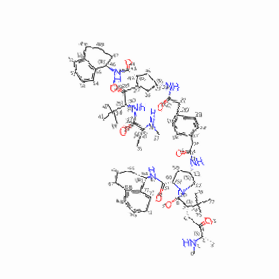 CN[C@@H](C)C(=O)C[C@H](C(=O)N1C[C@@H](NC(=O)Cc2ccc(CC(=O)N[C@@H]3CC(C(=O)[C@@H](NC(=O)[C@H](C)NC)C(C)(C)C)[C@H](C(=O)N[C@@H]4CCCc5ccccc54)C3)cc2)C[C@H]1C(=O)N[C@@H]1CCCc2ccccc21)C(C)(C)C